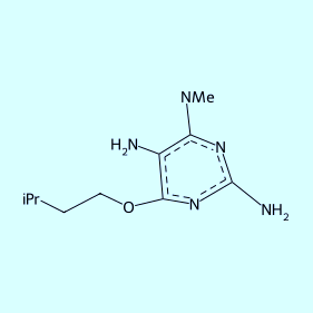 CNc1nc(N)nc(OCCC(C)C)c1N